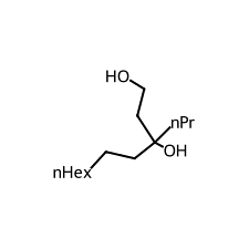 CCCCCCCCC(O)(CCC)CCO